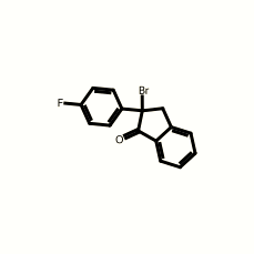 O=C1c2ccccc2CC1(Br)c1ccc(F)cc1